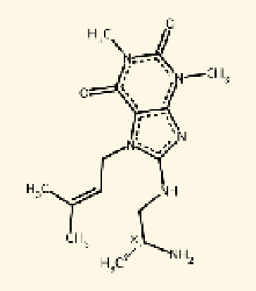 CC(C)=CCn1c(NC[C@@H](C)N)nc2c1c(=O)n(C)c(=O)n2C